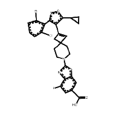 O=C(O)c1cc(F)c2nc(N3CCC4(C=C(c5c(-c6c(Cl)cccc6Cl)noc5C5CC5)C4)CC3)sc2c1